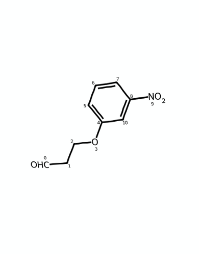 O=CCCOc1cccc([N+](=O)[O-])c1